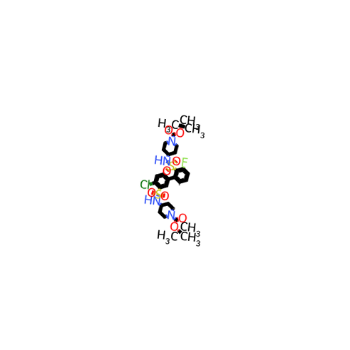 CC(C)(C)OC(=O)N1CCC(NS(=O)(=O)c2cc(-c3[c]ccc(F)c3S(=O)(=O)NC3CCN(C(=O)OC(C)(C)C)CC3)ccc2Cl)CC1